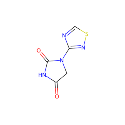 O=C1CN(c2ncsn2)C(=O)N1